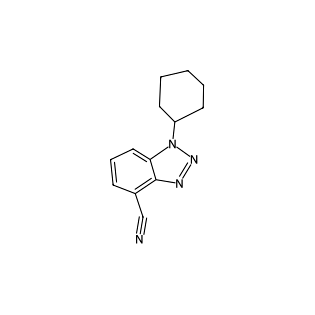 N#Cc1cccc2c1nnn2C1CCCCC1